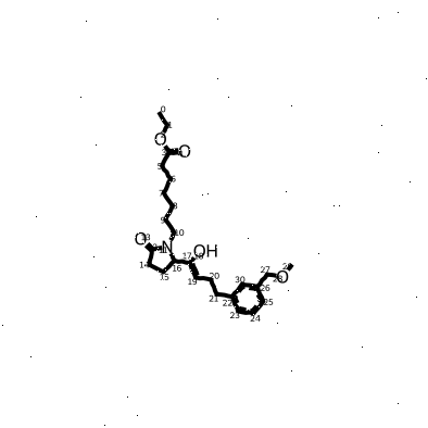 CCOC(=O)CCCCCCN1C(=O)CCC1/C(O)=C/CCc1cccc(COC)c1